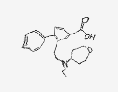 CCN(Cc1cc(C(=O)O)ccc1-c1ccccc1)C1CCOCC1